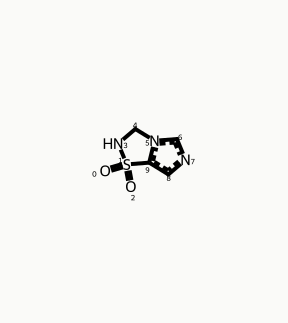 O=S1(=O)NCn2cncc21